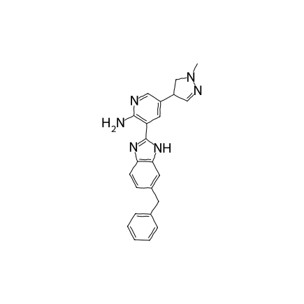 CN1CC(c2cnc(N)c(-c3nc4ccc(Cc5ccccc5)cc4[nH]3)c2)C=N1